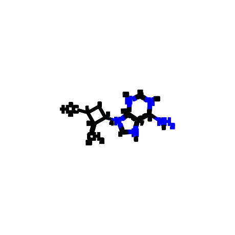 [CH2]C1CC(n2cnc3c(N)ncnc32)C1=C